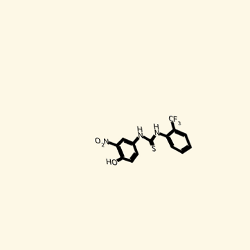 O=[N+]([O-])c1cc(NC(=S)Nc2ccccc2C(F)(F)F)ccc1O